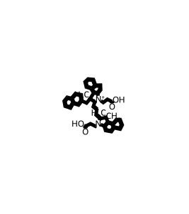 CC1(Cc2ccc3ccccc3c2)C(/C=C/C=C2/N(CCC(=O)O)c3ccc4ccccc4c3C2(C)C)=[N+](CCC(=O)O)c2ccc3ccccc3c21